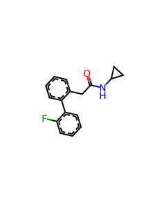 O=C(Cc1ccccc1-c1ccccc1F)NC1CC1